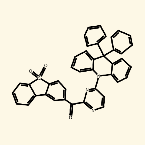 O=C(c1ccc2c(c1)-c1ccccc1S2(=O)=O)c1nccc(N2c3ccccc3C(c3ccccc3)(c3ccccc3)c3ccccc32)n1